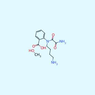 CO.NCCCCN(C(=O)C(N)=O)c1ccccc1C(=O)O